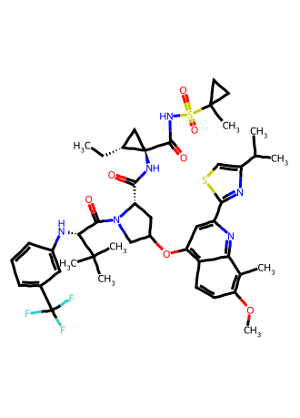 CC[C@@H]1C[C@]1(NC(=O)[C@@H]1CC(Oc2cc(-c3nc(C(C)C)cs3)nc3c(C)c(OC)ccc23)CN1C(=O)[C@@H](Nc1cccc(C(F)(F)F)c1)C(C)(C)C)C(=O)NS(=O)(=O)C1(C)CC1